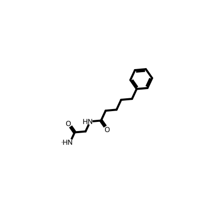 [NH]C(=O)CNC(=O)CCCCc1ccccc1